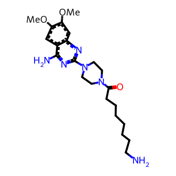 COc1cc2nc(N3CCN(C(=O)CCCCCCCN)CC3)nc(N)c2cc1OC